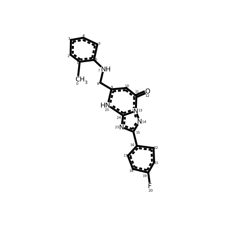 Cc1ccccc1NCc1cc(=O)n2nc(-c3ccc(F)cc3)nc2[nH]1